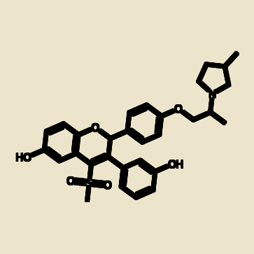 CC1CCN(C(C)COc2ccc(C3Oc4ccc(O)cc4C(S(C)(=O)=O)=C3c3cccc(O)c3)cc2)C1